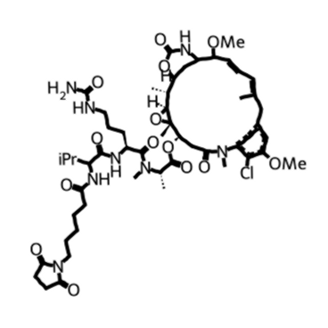 COc1cc2cc(c1Cl)N(C)C(=O)C[C@H](OC(=O)[C@H](C)N(C)C(=O)[C@H](CCCNC(N)=O)NC(=O)C(NC(=O)CCCCCN1C(=O)CCC1=O)C(C)C)[C@]1(C)O[C@H]1[C@H](C)[C@@H]1CC(NC(=O)O1)C(OC)/C=C/C=C(\C)C2